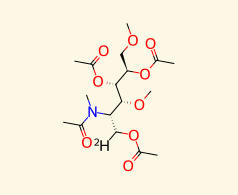 [2H]C(OC(C)=O)[C@@H]([C@@H](OC)[C@H](OC(C)=O)[C@@H](COC)OC(C)=O)N(C)C(C)=O